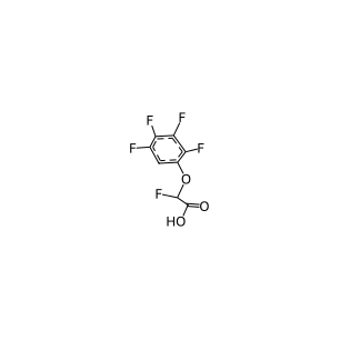 O=C(O)C(F)Oc1cc(F)c(F)c(F)c1F